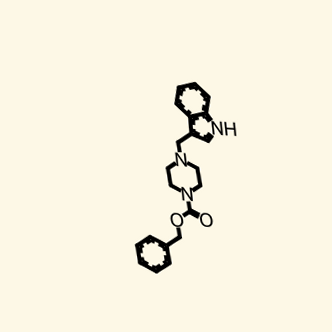 O=C(OCc1ccccc1)N1CCN(Cc2c[nH]c3ccccc23)CC1